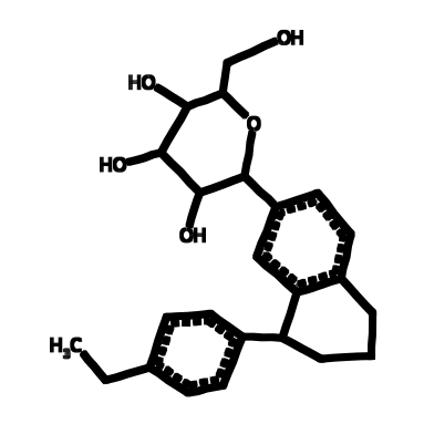 CCc1ccc(C2CCCc3ccc(C4OC(CO)C(O)C(O)C4O)cc32)cc1